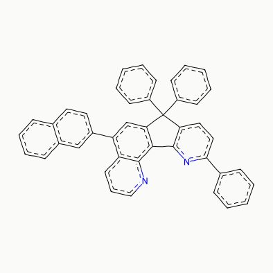 c1ccc(-c2ccc3c(n2)-c2c(cc(-c4ccc5ccccc5c4)c4cccnc24)C3(c2ccccc2)c2ccccc2)cc1